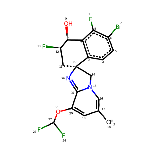 O[C@H]1c2c(ccc(Br)c2F)[C@@]2(C[C@H]1F)CN1C=C(C(F)(F)F)C=C(OC(F)F)C1=N2